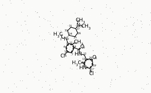 CCN(c1cc(Cl)cc(C(=O)NCc2c(C)[nH]c(Cl)cc2=O)c1C)[C@H]1CC[C@H](N(C)C)CC1